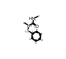 CNC(=O)N(C)Sc1ccccc1